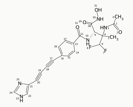 CC(=O)NC(C)(C(F)F)[C@H](NC(=O)c1ccc(C#CC#Cc2c[nH]cn2)cc1)C(=O)NO